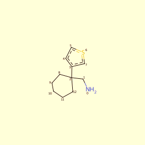 NCC1(c2ccsc2)CCCCC1